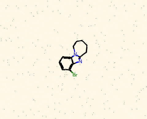 Brc1cccc2c1nc1n2CCCCC1